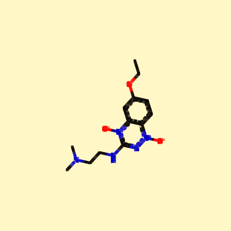 CCOc1ccc2c(c1)[n+]([O-])c(NCCN(C)C)n[n+]2[O-]